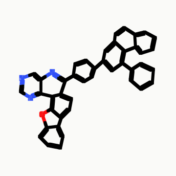 c1ccc(-c2cc(-c3ccc(-c4nc5cncnc5c5c4ccc4c6ccccc6oc45)cc3)cc3ccc4ccccc4c23)cc1